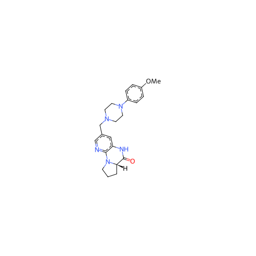 COc1ccc(N2CCN(Cc3cnc4c(c3)NC(=O)[C@@H]3CCCN43)CC2)cc1